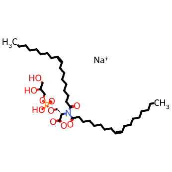 CCCCCCCC/C=C\CCCCCCCC(=O)N(C(=O)CCCCCCC/C=C\CCCCCCCC)[C@@H](COP(=O)(O)OCC(O)CO)C(=O)[O-].[Na+]